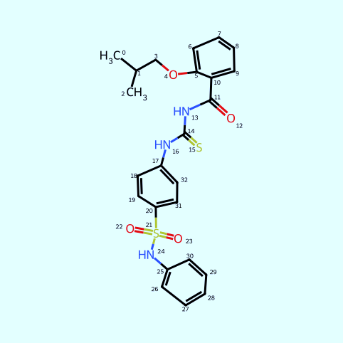 CC(C)COc1ccccc1C(=O)NC(=S)Nc1ccc(S(=O)(=O)Nc2ccccc2)cc1